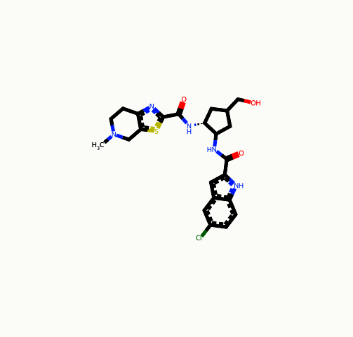 CN1CCc2nc(C(=O)N[C@@H]3CC(CO)CC3NC(=O)c3cc4cc(Cl)ccc4[nH]3)sc2C1